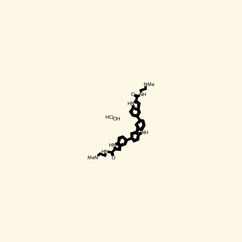 CNCCNC(=O)c1cc2cc(-c3ccc4[nH]c5ccc(-c6ccc7[nH]c(C(=O)NCCNC)cc7c6)cc5c4c3)ccc2[nH]1.Cl.Cl